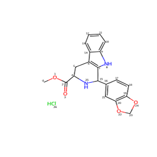 COC(=O)C1Cc2c([nH]c3ccccc23)C(c2ccc3c(c2)OCO3)N1.Cl